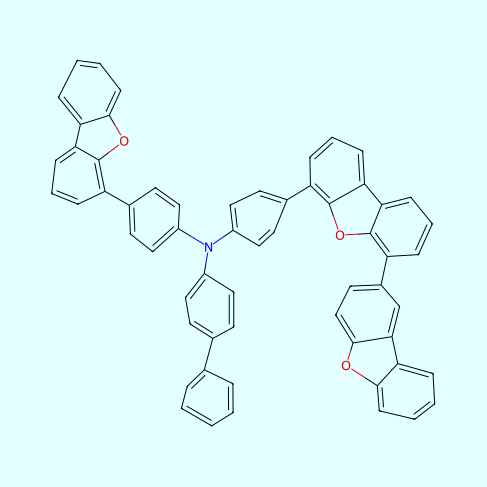 c1ccc(-c2ccc(N(c3ccc(-c4cccc5c4oc4ccccc45)cc3)c3ccc(-c4cccc5c4oc4c(-c6ccc7oc8ccccc8c7c6)cccc45)cc3)cc2)cc1